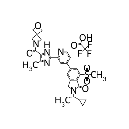 Cc1nc(-c2cc(-c3cc4c(c(S(C)(=O)=O)c3)C(=O)N([C@@H](C)C3CC3)C4)ccn2)[nH]c1C(=O)N1CC2(COC2)C1.O=C(O)C(F)(F)F